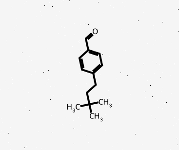 CC(C)(C)CCc1ccc(C=O)cc1